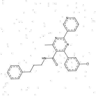 Cc1nc(-c2cccnc2)nc(-c2cccc(Cl)c2)c1C(=O)NCCCc1ccccc1